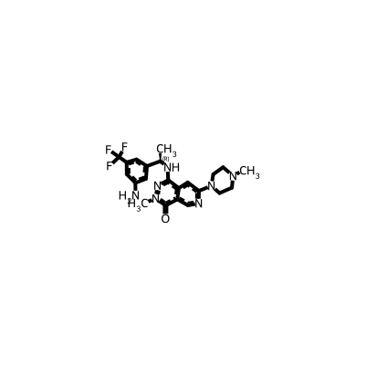 C[C@@H](Nc1nn(C)c(=O)c2cnc(N3CCN(C)CC3)cc12)c1cc(N)cc(C(F)(F)F)c1